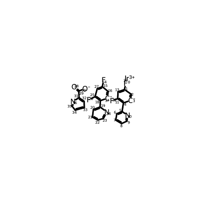 Fc1c[c-]c(-c2ccccn2)c(F)c1.Fc1c[c-]c(-c2ccccn2)c(F)c1.O=C([O-])c1ccccn1.[Ir+3]